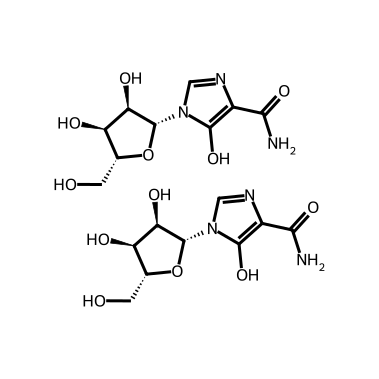 NC(=O)c1ncn([C@@H]2O[C@H](CO)[C@@H](O)[C@H]2O)c1O.NC(=O)c1ncn([C@@H]2O[C@H](CO)[C@@H](O)[C@H]2O)c1O